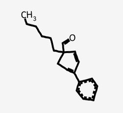 CCCCCCC1(C=O)C=CC(c2ccccc2)=CC1